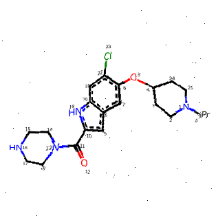 CC(C)N1CCC(Oc2cc3cc(C(=O)N4CCNCC4)[nH]c3cc2Cl)CC1